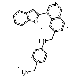 NCc1ccc(NCc2ccc3cncc(-c4cc5ccccc5o4)c3c2)cc1